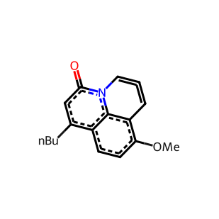 CCCCc1cc(=O)n2c3c(c(OC)ccc13)C=C=C2